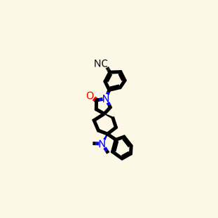 CN(C)[C@]1(c2ccccc2)CC[C@@]2(CC1)CC(=O)N(c1cccc(C#N)c1)C2